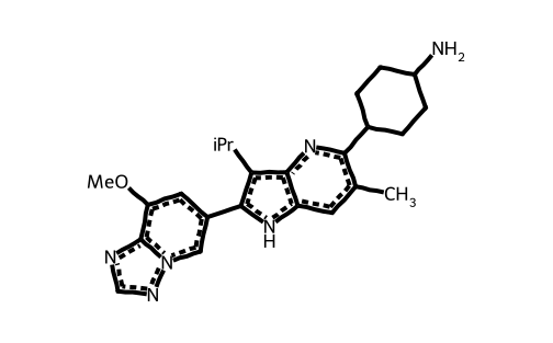 COc1cc(-c2[nH]c3cc(C)c(C4CCC(N)CC4)nc3c2C(C)C)cn2ncnc12